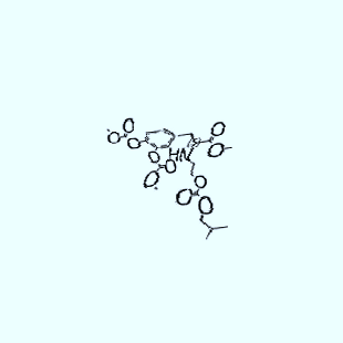 COC(=O)Oc1ccc(C[C@H](NCCOC(=O)OCC(C)C)C(=O)OC)cc1OC(=O)OC